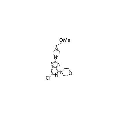 COCCN1CCN(c2nc3c(N4CCOCC4)nc(Cl)cc3s2)CC1